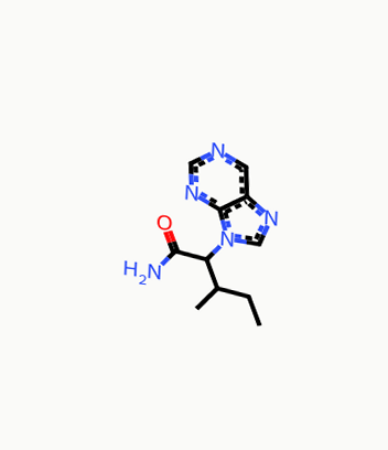 CCC(C)C(C(N)=O)n1cnc2cncnc21